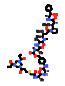 C=CC(=O)N1CN(C(=O)C=C)CN(C(=O)CCSCC(=O)N[C@H](C(=O)N[C@@H](C)C(=O)Nc2ccc(COC(=O)N(C)[C@H](C(=O)N[C@H](C(=O)N(C)[C@@H]([C@@H](C)CC)[C@@H](CC(=O)N3CCC[C@H]3[C@H](OC)[C@@H](C)C(=O)N[C@H](C)[C@@H](O)c3ccccc3)OC)C(C)C)C(C)C)cc2)C(C)C)C1